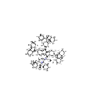 C=C(C)/C(=C\C=C(/C)n1c2cc(-n3c4ccccc4c4ccccc43)ccc2c2c1c1ccc(-n3c4ccccc4c4ccccc43)cc1n2-c1ccc(P(=O)(c2ccccc2)c2ccccc2)cc1)P(=O)(c1ccccc1)c1ccccc1